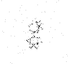 CC1(C)OCCB(B2OC(C)(C)C(C)(C)[C@@H]3CC23)OC1(C)C